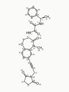 C[C@@H](NC(=O)C(=O)N[C@H]1COc2ccc(C#CCN3C(=O)CCC3=O)cc2N(C)C1=O)c1ccccc1